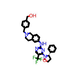 OCc1ccc(CN2CCc3cc(Nc4ncc(C(F)(F)F)c(N5OCC[C@H]5c5ccccc5)n4)ccc3C2)cc1